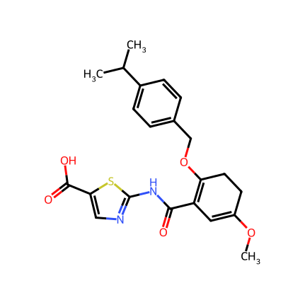 COC1=CC(C(=O)Nc2ncc(C(=O)O)s2)=C(OCc2ccc(C(C)C)cc2)CC1